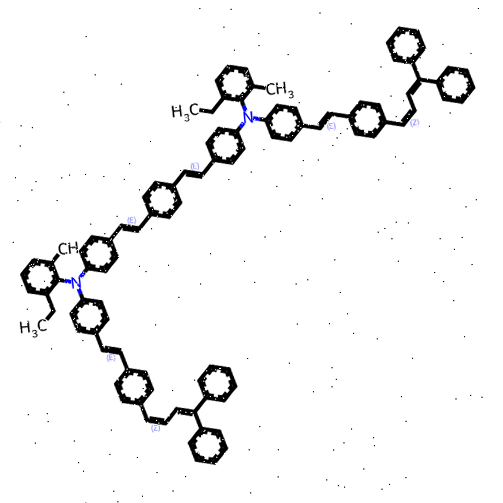 CCc1cccc(C)c1N(c1ccc(/C=C/c2ccc(/C=C\C=C(c3ccccc3)c3ccccc3)cc2)cc1)c1ccc(/C=C/c2ccc(/C=C/c3ccc(N(c4ccc(/C=C/c5ccc(/C=C\C=C(c6ccccc6)c6ccccc6)cc5)cc4)c4c(C)cccc4CC)cc3)cc2)cc1